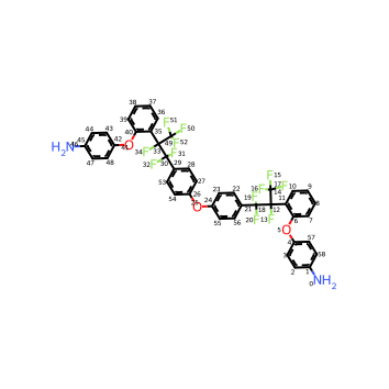 Nc1ccc(Oc2ccccc2C(F)(C(F)(F)F)C(F)(F)c2ccc(Oc3ccc(C(F)(F)C(F)(c4ccccc4Oc4ccc(N)cc4)C(F)(F)F)cc3)cc2)cc1